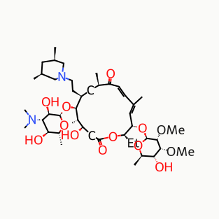 CC[C@H]1OC(=O)C[C@@H](O)[C@H](C)[C@@H](O[C@@H]2O[C@H](C)[C@@H](O)[C@H](N(C)C)[C@H]2O)[C@@H](CCN2C[C@H](C)C[C@H](C)C2)C[C@@H](C)C(=O)/C=C/C(C)=C/[C@@H]1O[C@@H]1O[C@H](C)[C@@H](O)[C@@H](OC)[C@H]1OC